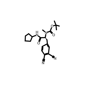 CN(C(=O)OC(C)(C)C)[C@@H](Cc1ccc(C#N)c(C#N)c1)C(=O)NC1CCCC1